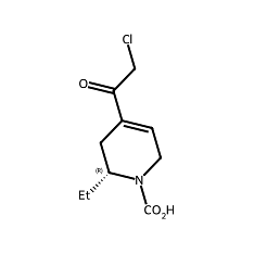 CC[C@@H]1CC(C(=O)CCl)=CCN1C(=O)O